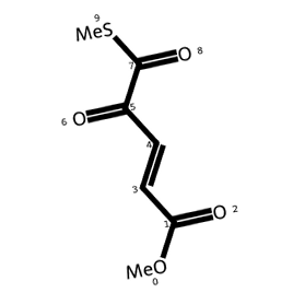 COC(=O)/C=C/C(=O)C(=O)SC